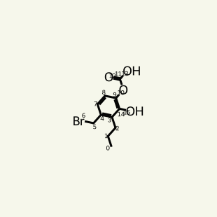 CCCc1c(CBr)ccc(OC(=O)O)c1O